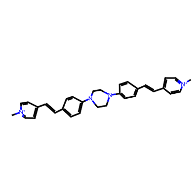 C[n+]1ccc(C=Cc2ccc(N3CCN(c4ccc(C=Cc5cc[n+](C)cc5)cc4)CC3)cc2)cc1